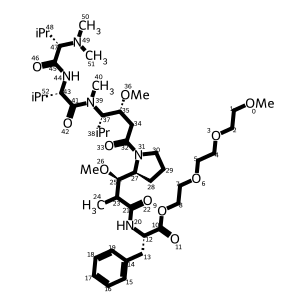 COCCOCCOCCOC(=O)[C@H](Cc1ccccc1)NC(=O)C(C)[C@@H](OC)[C@@H]1CCCN1C(=O)C[C@@H](OC)[C@H](C(C)C)N(C)C(=O)[C@@H](NC(=O)[C@H](C(C)C)N(C)C)C(C)C